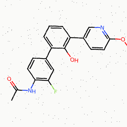 COc1ccc(-c2cccc(-c3ccc(NC(C)=O)c(F)c3)c2O)cn1